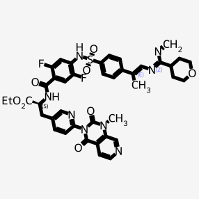 C=N/C(=N\C=C(/C)c1ccc(S(=O)(=O)Nc2cc(F)c(C(=O)N[C@@H](Cc3ccc(-n4c(=O)c5ccncc5n(C)c4=O)nc3)C(=O)OCC)cc2F)cc1)C1CCOCC1